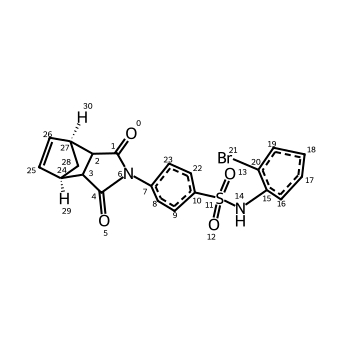 O=C1C2C(C(=O)N1c1ccc(S(=O)(=O)Nc3ccccc3Br)cc1)[C@H]1C=C[C@@H]2C1